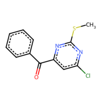 CSc1nc(Cl)cc(C(=O)c2ccccc2)n1